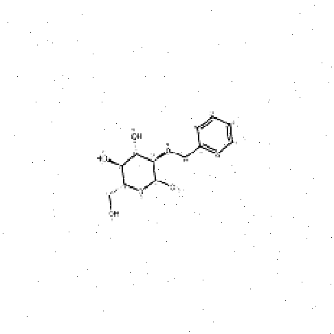 [O]C1O[C@H](CO)[C@@H](O)[C@H](O)[C@H]1OCc1ccccc1